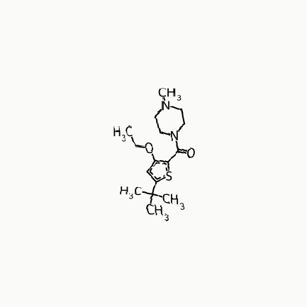 CCOc1cc(C(C)(C)C)sc1C(=O)N1CCN(C)CC1